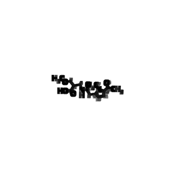 COCC(CNC(=O)Cc1ccc(C(C)=O)n1C)C(=O)O